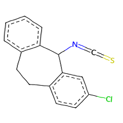 S=C=NC1c2ccccc2CCc2ccc(Cl)cc21